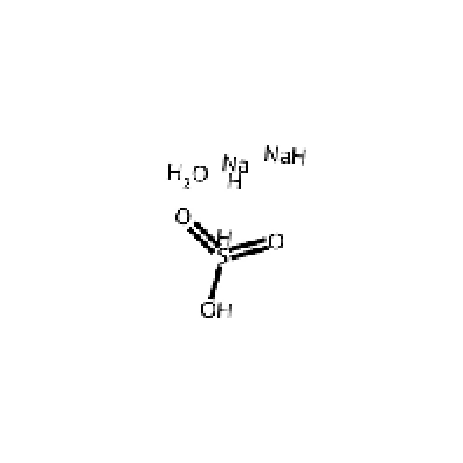 O.O=[SH](=O)O.[NaH].[NaH]